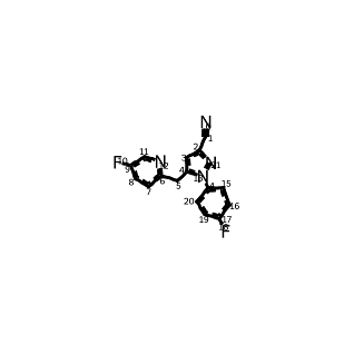 N#Cc1cc(Cc2ccc(F)cn2)n(-c2ccc(F)cc2)n1